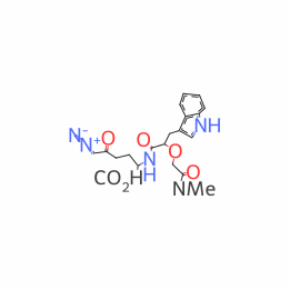 CNC(=O)COC(Cc1c[nH]c2ccccc12)C(=O)NC(CCC(=O)C=[N+]=[N-])C(=O)O